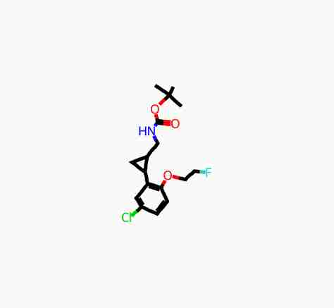 CC(C)(C)OC(=O)NCC1CC1c1cc(Cl)ccc1OCCF